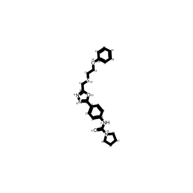 O=C(Nc1ccc(-c2nnc(CSCCOc3ccccc3)o2)cc1)N1CCCC1